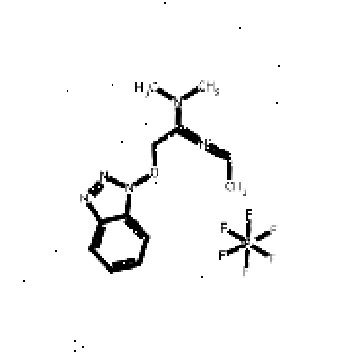 CC=[N+]=C(COn1nnc2ccccc21)N(C)C.F[P-](F)(F)(F)(F)F